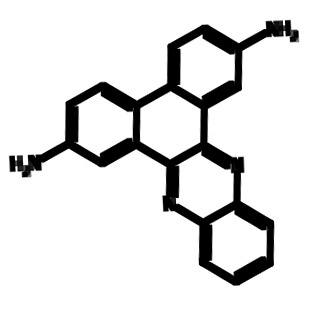 Nc1ccc2c3ccc(N)cc3c3nc4ccccc4nc3c2c1